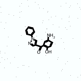 Nc1ccc(O)c(C(=O)c2cnn(-c3ccccc3)c2)c1